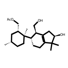 CC(=O)OC[C@H]1C[C@@H](C)CC[C@]1(C)[C@H]1CCC2=C(C[C@@H](O)C2(C)C)[C@@H]1CO